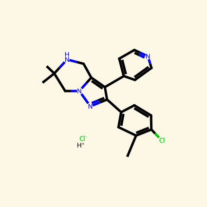 Cc1cc(-c2nn3c(c2-c2ccncc2)CNC(C)(C)C3)ccc1Cl.[Cl-].[H+]